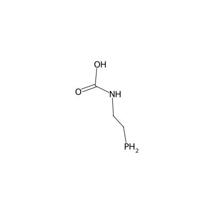 O=C(O)NCCP